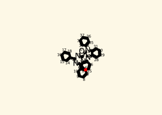 O=P1(c2nc(-c3ccccc3)nc(-c3ccccc3)n2)N(c2ccccc2)c2ccccc2N1c1ccccc1